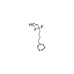 [CH]=CC(F)(F)CCCCc1ccccc1